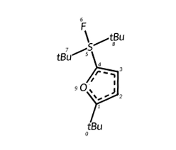 CC(C)(C)c1ccc(S(F)(C(C)(C)C)C(C)(C)C)o1